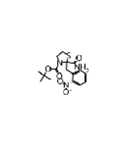 CC(C)(C)OC(=O)N1CCSC1(Cc1ccccc1[N+](=O)[O-])C(N)=O